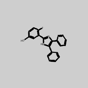 Oc1ccc(F)c(-c2nc(-c3ccccc3)c(-c3ccccc3)[nH]2)c1